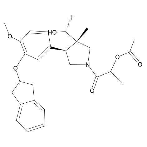 COc1ccc([C@@H]2CN(C(=O)C(C)OC(C)=O)C[C@@]2(C)[C@@H](C)O)cc1OC1Cc2ccccc2C1